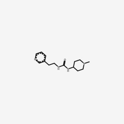 CN1CCC(NC(=O)NCCc2cccnc2)CC1